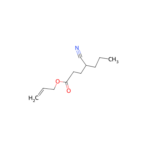 C=CCOC(=O)CCC(C#N)CCC